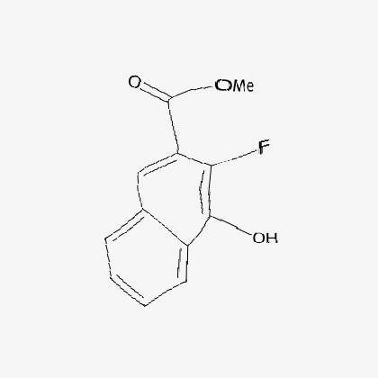 COC(=O)c1cc2ccccc2c(O)c1F